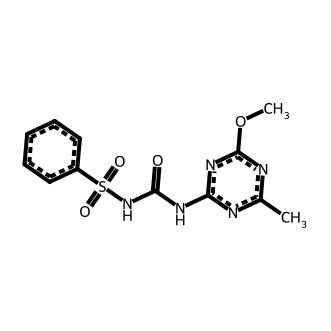 COc1nc(C)nc(NC(=O)NS(=O)(=O)c2ccccc2)n1